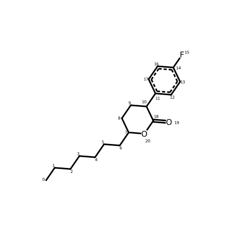 CCCCCCCC1CCC(c2ccc(F)cc2)C(=O)O1